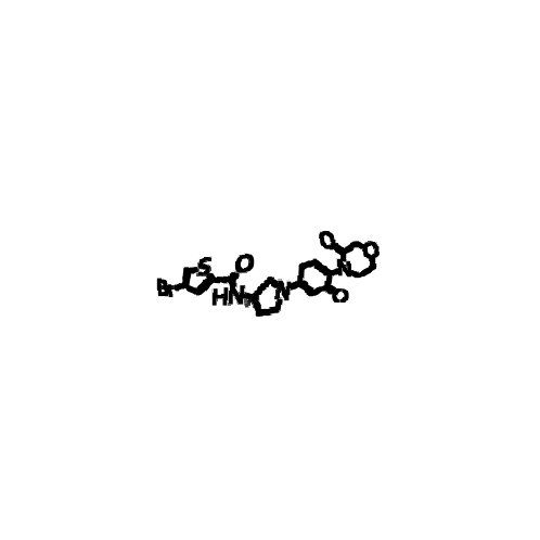 O=C1C=C(N2CC[C@@H](NC(=O)c3cc(Br)cs3)C2)CC=C1N1CCOCC1=O